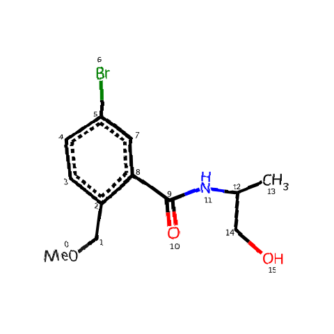 COCc1ccc(Br)cc1C(=O)NC(C)CO